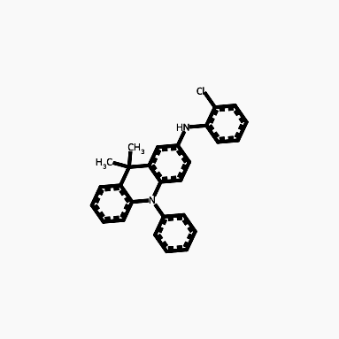 CC1(C)c2ccccc2N(c2ccccc2)c2ccc(Nc3ccccc3Cl)cc21